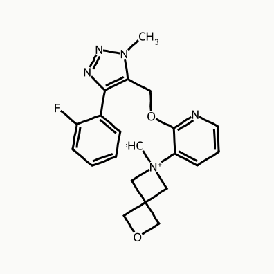 [CH][N+]1(c2cccnc2OCc2c(-c3ccccc3F)nnn2C)CC2(COC2)C1